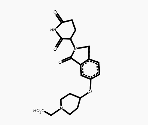 O=C(O)CN1CCC(Oc2ccc3c(c2)C(=O)N(C2CCC(=O)NC2=O)C3)CC1